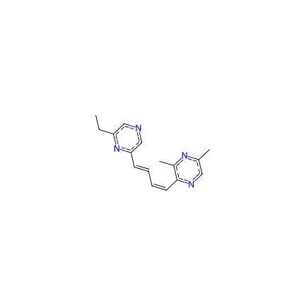 CCc1cncc(/C=C/C=C\c2ncc(C)nc2C)n1